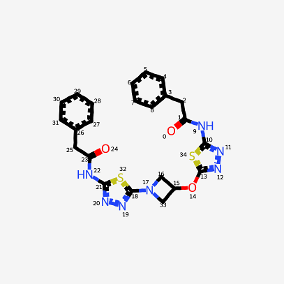 O=C(Cc1ccccc1)Nc1nnc(OC2CN(c3nnc(NC(=O)Cc4ccccc4)s3)C2)s1